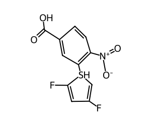 O=C(O)c1ccc([N+](=O)[O-])c([SH]2C=C(F)C=C2F)c1